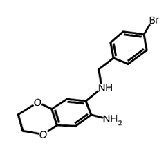 Nc1cc2c(cc1NCc1ccc(Br)cc1)OCCO2